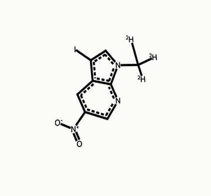 [2H]C([2H])([2H])n1cc(I)c2cc([N+](=O)[O-])cnc21